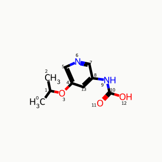 CC(C)Oc1cncc(NC(=O)O)c1